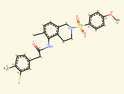 Cc1ccc2c(c1NC(=O)Cc1ccc(C(F)(F)F)c(F)c1)CCN(S(=O)(=O)c1ccc(OC(C)C)cc1)C2